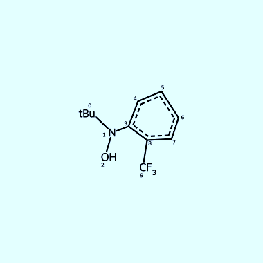 CC(C)(C)N(O)c1ccccc1C(F)(F)F